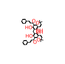 CC1(C)C=Cc2c(O)c(Cc3c(O)c4c(c(C(=O)/C=C/c5ccccc5)c3O)OC(C)(C)C=C4)c(O)c(C(=O)/C=C/c3ccccc3)c2O1